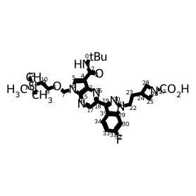 CC(C)(C)NC(=O)c1cn(COCC[Si](C)(C)C)c2ncc(-c3nn(CCC4CN(C(=O)O)C4)c4cc(F)ccc34)nc12